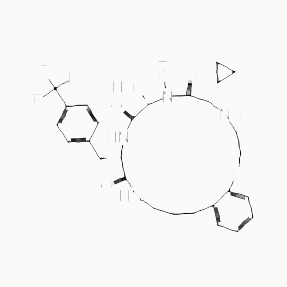 C[C@@H]1C(=O)N[C@H](Cc2ccc(C(F)(F)F)cc2)C(=O)NCCCc2ccccc2OCCN[C@@H](C2CC2)C(=O)N1C